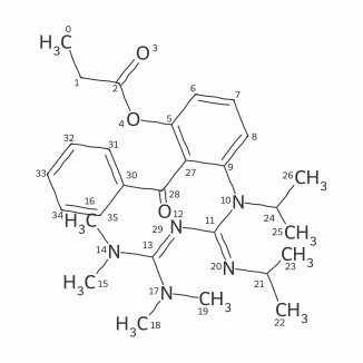 CCC(=O)Oc1cccc(N(C(N=C(N(C)C)N(C)C)=NC(C)C)C(C)C)c1C(=O)c1ccccc1